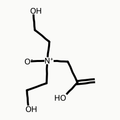 C=C(O)C[N+]([O-])(CCO)CCO